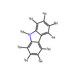 [2H]c1c([2H])c([2H])c2c(c1[2H])c1c([2H])c([2H])c([2H])c([2H])c1n2[2H]